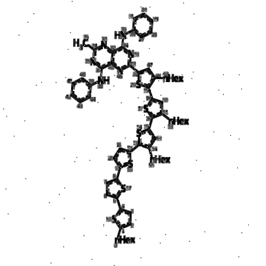 CCCCCCc1ccc(-c2ccc(-c3ccc(-c4sc(-c5sc(-c6sc(-c7nc(Nc8ccccc8)c8nc(C)nc(Nc9ccccc9)c8n7)cc6CCCCCC)cc5CCCCCC)cc4CCCCCC)s3)s2)s1